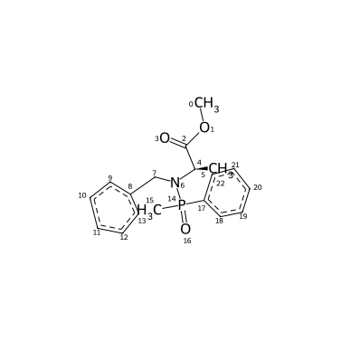 COC(=O)[C@@H](C)N(Cc1ccccc1)P(C)(=O)c1ccccc1